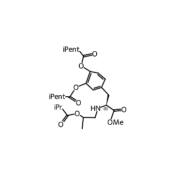 CCCC(C)C(=O)Oc1ccc(C[C@H](NCC(C)OC(=O)C(C)C)C(=O)OC)cc1OC(=O)C(C)CCC